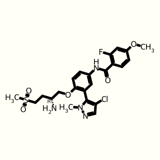 COc1ccc(C(=O)Nc2ccc(OC[C@H](N)CCS(C)(=O)=O)c(-c3c(Cl)cnn3C)c2)c(F)c1